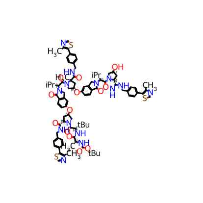 Cc1ncsc1-c1ccc(CNC(=N)[C@@H]2C[C@@H](O)CN2C(=O)[C@H](C(C)C)N2Cc3cc(O[C@H]4CN(C(=O)[C@H](C(C)C)N5Cc6cc(O[C@@H]7C[C@@H](C(=O)NCc8ccc(-c9scnc9C)cc8)N(C(=O)[C@@H](NC(=O)[C@H](C)NC(=O)OC(C)(C)C)C(C)(C)C)C7)ccc6C5=O)C(C)(C(=O)NCc5ccc(-c6scnc6C)cc5)C4)ccc3C2=O)cc1